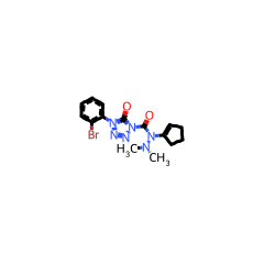 CN(C)N(C(=O)n1nnn(-c2ccccc2Br)c1=O)C1=CCCC1